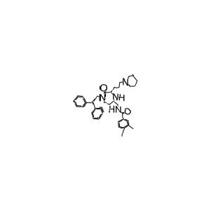 Cc1ccc(C(=O)NCC2CCN(CC(c3ccccc3)c3ccccc3)C(=O)C(CCCN3CCCCC3)N2)cc1C